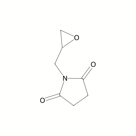 O=C1CCC(=O)N1CC1CO1